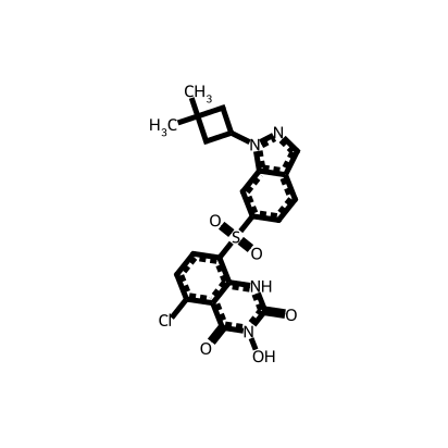 CC1(C)CC(n2ncc3ccc(S(=O)(=O)c4ccc(Cl)c5c(=O)n(O)c(=O)[nH]c45)cc32)C1